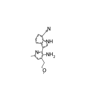 COCCc1cc(C)nc(-c2c[nH]c3c(C#N)cccc23)c1N